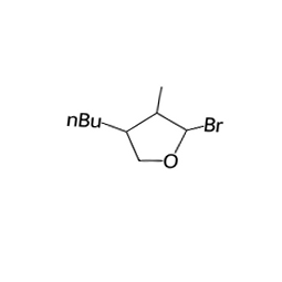 CCCCC1COC(Br)C1C